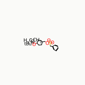 CC(C)(C)[Si](C)(C)OC1CCC(COS(=O)(=O)Cc2ccccc2)CC1